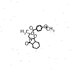 COc1ccc(C(=O)OC(C)CN2C(=O)C3CCCCC3C2=O)cc1